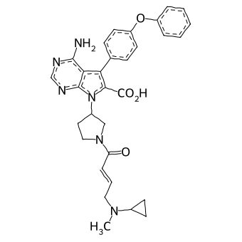 CN(CC=CC(=O)N1CCC(n2c(C(=O)O)c(-c3ccc(Oc4ccccc4)cc3)c3c(N)ncnc32)C1)C1CC1